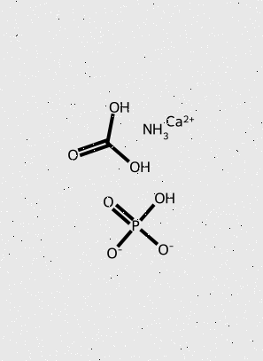 N.O=C(O)O.O=P([O-])([O-])O.[Ca+2]